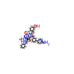 C=CCN1CC(=O)N2[C@@H](Cc3ccc(O)cc3)C(=O)N(Cc3cccc(-c4ccc(N)nc4)c3)C[C@@H]2N1C(=O)NCc1ccccc1